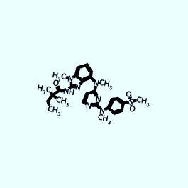 CCC(C)(C)C(=O)Nc1nc2c(N(C)c3ccnc(N(C)c4ccc(S(C)(=O)=O)cc4)n3)cccc2n1C